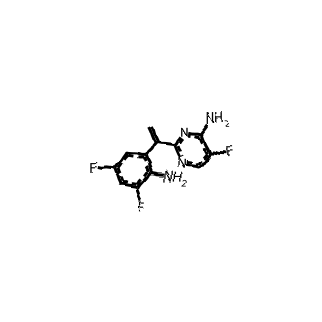 C=C(c1ncc(F)c(N)n1)c1cc(F)cc(F)c1N